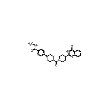 CNC(=O)c1ccc(N2CCC(C(=O)N3CCC(c4nc5ccccc5c(=O)[nH]4)CC3)CC2)cn1